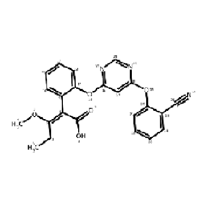 CCC(OC)=C(C(=O)O)c1ccccc1Oc1cc(Oc2ccccc2C#N)ncn1